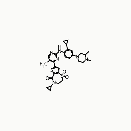 CC1CN(c2ccc(Nc3ncc(C(F)(F)F)c(-c4cc5c(s4)C(=O)N(C4CC4)CCS5(=O)=O)n3)c(C3CC3)c2)CCN1C